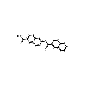 CC(=O)c1ccc2cc(OC(=O)c3ccc4ccccc4c3)ccc2c1